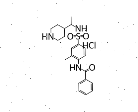 Cc1cc(S(=O)(=O)NC(C)C2CCNCC2)ccc1NC(=O)c1ccccc1.Cl